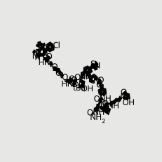 Cc1ncsc1-c1ccc(CNC(=O)[C@@H]2C[C@@H](O)CN2C(=O)[C@@H](NC(=O)COCCOCCOCCNC(=O)C[C@@H]2N=C(c3ccc(Cl)cc3)c3c(sc(C)c3C)-n3c(C)nnc32)C(C)(C)C)c(OC2CCN(C(=O)OCc3ccc(NC(=O)[C@H](CCCNC(N)=O)NC(=O)C4(C(=O)NCCCCCN5C(=O)C=CC5O)CCC4)cc3)CC2)c1